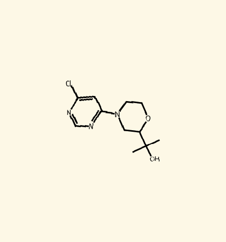 CC(C)(O)C1CN(c2cc(Cl)ncn2)CCO1